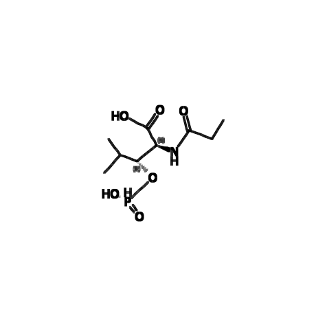 CCC(=O)N[C@H](C(=O)O)[C@H](O[PH](=O)O)C(C)C